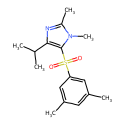 Cc1cc(C)cc(S(=O)(=O)c2c(C(C)C)nc(C)n2C)c1